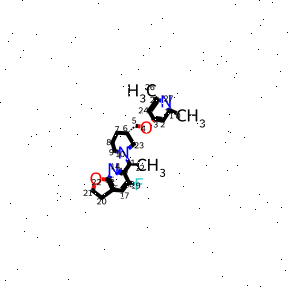 Cc1cc(OC[C@H]2CCCN([C@@H](C)c3nc4c(cc3F)CCO4)C2)cc(C)n1